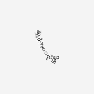 O=C1CC[C@H](Nc2ccc(C3CCN(CC(=O)N4CCN(c5ccc(-c6cc(F)c7c(c6)C(=O)N(C(C(=O)Nc6ccccn6)c6ncn8c6CCC8)C7)cc5)CC4)CC3)c(F)c2)C(=O)N1